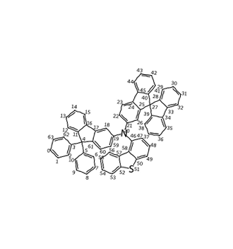 c1ccc(C2(c3ccccc3)c3ccccc3-c3cc(N(c4ccc5c(c4)C4(c6ccccc6-c6ccccc64)c4ccccc4-5)c4cccc5sc6ccccc6c45)ccc32)cc1